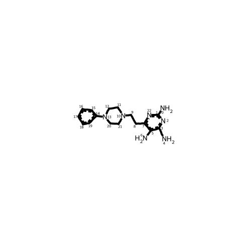 Nc1nc(N)c(N)c(CCN2CCN(c3ccccc3)CC2)n1